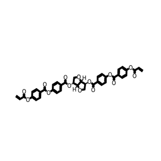 C=CC(=O)Oc1ccc(C(=O)Oc2ccc(C(=O)O[C@H]3CO[C@H]4[C@@H]3OC[C@H]4OC(=O)c3ccc(OC(=O)c4ccc(OC(=O)C=C)cc4)cc3)cc2)cc1